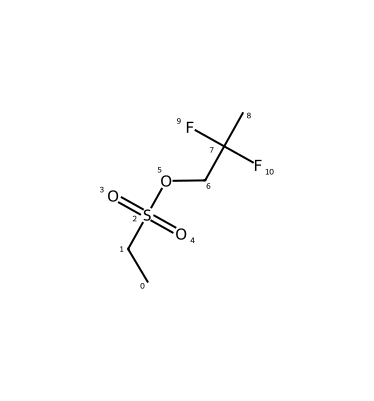 CCS(=O)(=O)OCC(C)(F)F